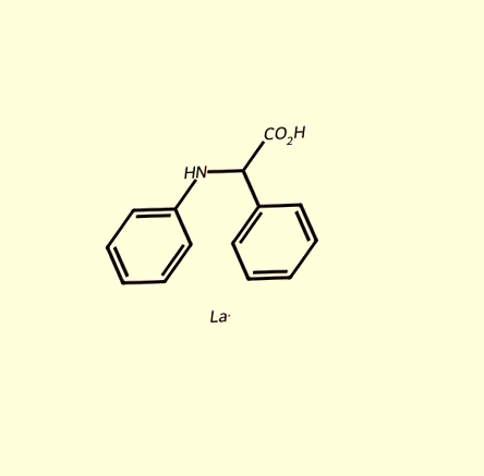 O=C(O)C(Nc1ccccc1)c1ccccc1.[La]